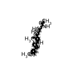 CCC(=O)C(=N)CCC(O)CC(=N)CC(=O)c1ccc(NC2=NC=CC3C(c4ccc(OC)c(F)c4F)=CN=C23)cc1CC